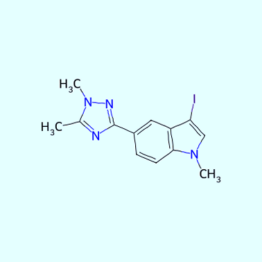 Cc1nc(-c2ccc3c(c2)c(I)cn3C)nn1C